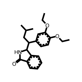 CCOc1ccc(C(CC(C)C)C2NC(=O)c3ccccc32)cc1OCC